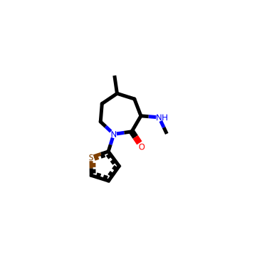 CNC1CC(C)CCN(c2cccs2)C1=O